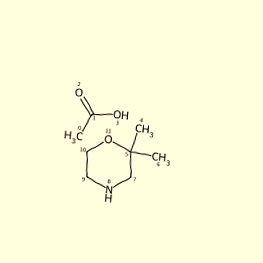 CC(=O)O.CC1(C)CNCCO1